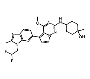 COc1nc(NC2CCC(C)(O)CC2)nn2ccc(-c3ccc4nc(C)n(CC(F)F)c4c3)c12